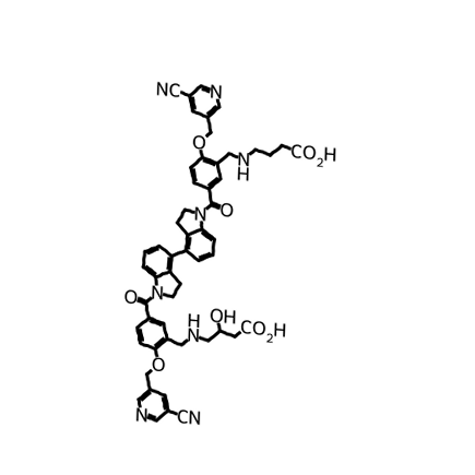 N#Cc1cncc(COc2ccc(C(=O)N3CCc4c(-c5cccc6c5CCN6C(=O)c5ccc(OCc6cncc(C#N)c6)c(CNCC(O)CC(=O)O)c5)cccc43)cc2CNCCCC(=O)O)c1